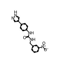 O=C(NCc1cccc([N+](=O)[O-])c1)Nc1ccc(-c2cn[nH]c2)cc1